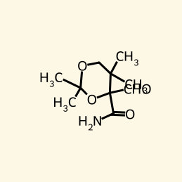 CC1(C)OCC(C)(C)C(C=O)(C(N)=O)O1